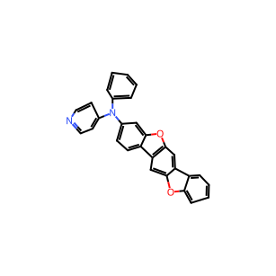 c1ccc(N(c2ccncc2)c2ccc3c(c2)oc2cc4c(cc23)oc2ccccc24)cc1